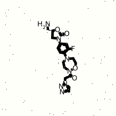 NC[C@H]1CN(c2ccc(N3CCON(C(=O)Cn4ccnn4)CC3)c(F)c2)C(=O)O1